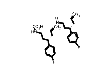 C=CC[C@@H](CCN)c1ccc(F)cc1.C=CC[C@@H](CCNC(=O)O)c1ccc(F)cc1